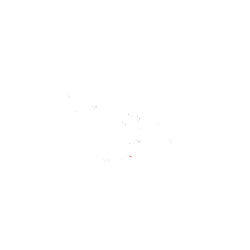 CC(C)C(NCc1ccc(-c2ccccc2-c2nnnn2C(c2ccccc2)(c2ccccc2)c2ccccc2)cc1)C(=O)O.Cl